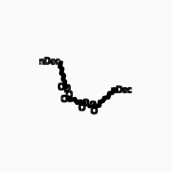 CCCCCCCCCCCCCCCCCC(=O)OCOC(=O)CCCCC(=O)OCOC(=O)CCCCCCCCCCCCCCCCC